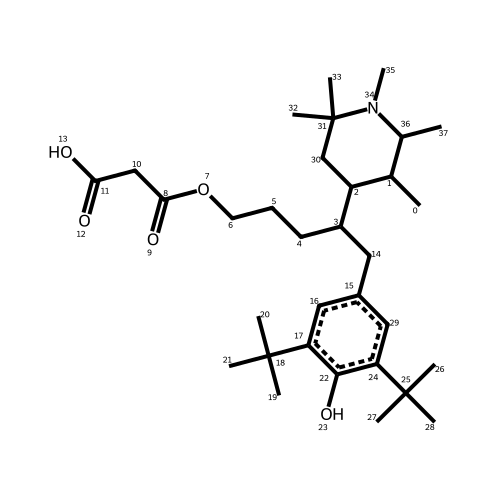 CC1C(C(CCCOC(=O)CC(=O)O)Cc2cc(C(C)(C)C)c(O)c(C(C)(C)C)c2)CC(C)(C)N(C)C1C